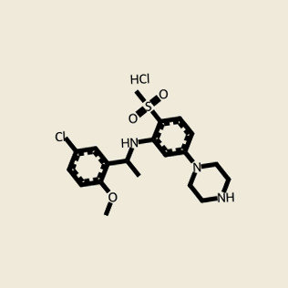 COc1ccc(Cl)cc1C(C)Nc1cc(N2CCNCC2)ccc1S(C)(=O)=O.Cl